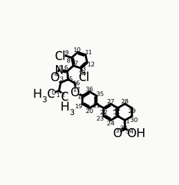 CC(C)C1ON=C(c2c(Cl)cccc2Cl)C1COc1ccc(-c2ccc3c(c2)CCCC3C(=O)O)cc1